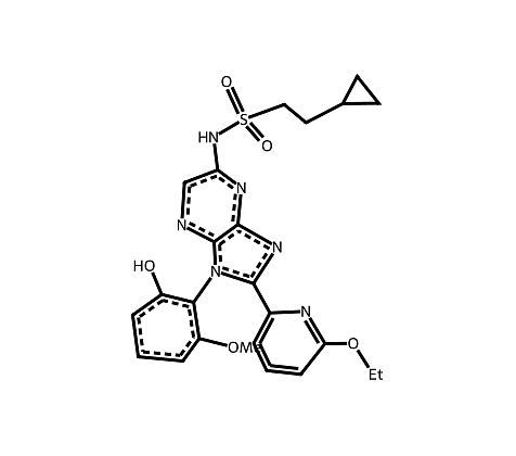 CCOC1=NC(c2nc3nc(NS(=O)(=O)CCC4CC4)cnc3n2-c2c(O)cccc2OC)=C=C=C1